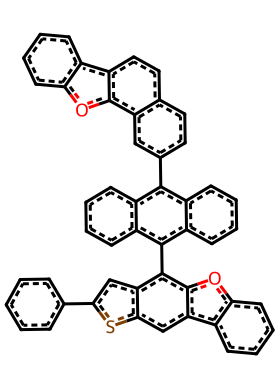 c1ccc(-c2cc3c(-c4c5ccccc5c(-c5ccc6ccc7c8ccccc8oc7c6c5)c5ccccc45)c4oc5ccccc5c4cc3s2)cc1